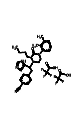 CCCCC1C(=O)N(c2cccc(C)c2C)CCN1C(Cc1ccc(C#N)cc1)c1cnc[nH]1.O=C(O)C(F)(F)F.O=C(O)C(F)(F)F